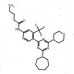 CCCCC(=O)Nc1cc(C(F)(F)F)c(-c2nc(N3CCCCCC3)nc(N3CCOCC3)n2)cn1